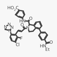 CCNC(=O)c1ccc(-c2cccc3c2CCN(C(=O)C=Cc2c(-n4cnnn4)ccc(Cl)c2F)C3C(=O)Nc2ccc(C(=O)O)cc2)cc1